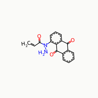 C=CC(=O)N(N)c1cccc2c1C(=O)c1ccccc1C2=O